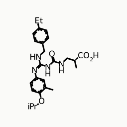 CCc1ccc(CN/C(=N/c2ccc(OC(C)C)c(C)c2)NC(=O)NC[C@H](C)C(=O)O)cc1